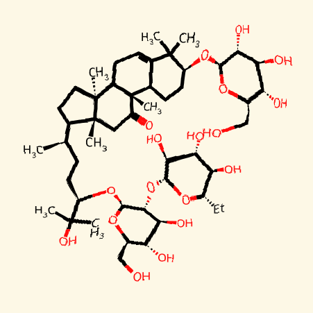 CC[C@@H]1O[C@H](O[C@H]2[C@H](O[C@H](CC[C@@H](C)C3CC[C@@]4(C)C5CC=C6C(CC[C@H](O[C@@H]7O[C@H](CO)[C@@H](O)[C@H](O)[C@H]7O)C6(C)C)[C@]5(C)C(=O)C[C@]34C)C(C)(C)O)O[C@H](CO)[C@@H](O)[C@@H]2O)[C@@H](O)[C@H](O)[C@H]1O